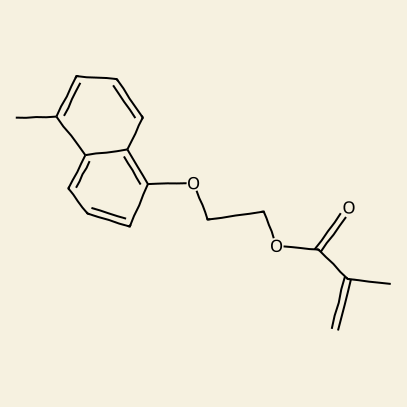 C=C(C)C(=O)OCCOc1cccc2c(C)cccc12